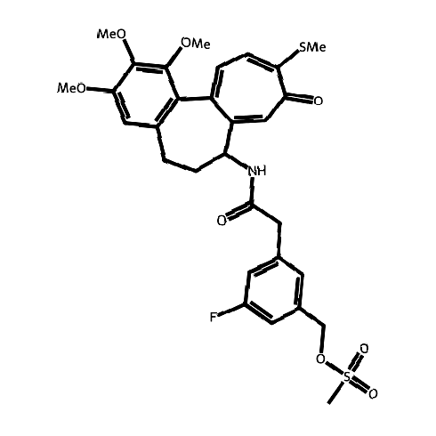 COc1cc2c(c(OC)c1OC)-c1ccc(SC)c(=O)cc1C(NC(=O)Cc1cc(F)cc(COS(C)(=O)=O)c1)CC2